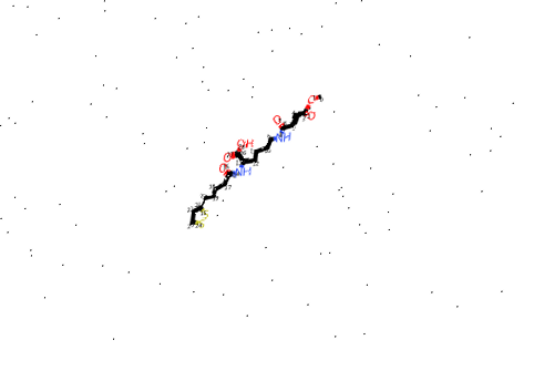 COC(=O)C=CC(=O)NCCCCC(NC(=O)CCCC[C@@H]1CCSS1)C(=O)O